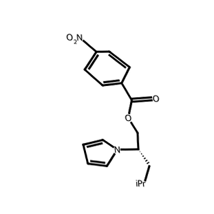 CC(C)C[C@@H](COC(=O)c1ccc([N+](=O)[O-])cc1)n1cccc1